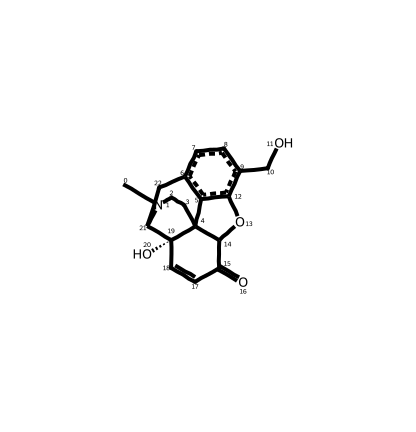 CN1CCC23c4c5ccc(CO)c4OC2C(=O)C=C[C@@]3(O)C1C5